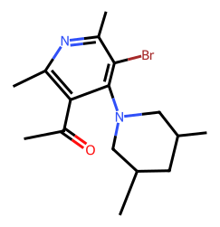 CC(=O)c1c(C)nc(C)c(Br)c1N1CC(C)CC(C)C1